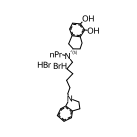 Br.Br.CCCN(CCCCCCN1CCc2ccccc21)[C@H]1CCc2c(ccc(O)c2O)C1